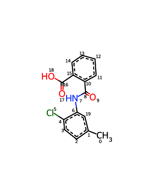 Cc1ccc(Cl)c(NC(=O)c2ccccc2C(=O)O)c1